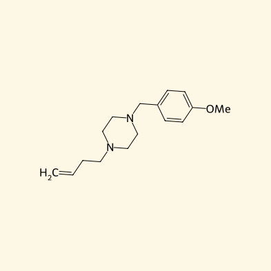 C=CCCN1CCN(Cc2ccc(OC)cc2)CC1